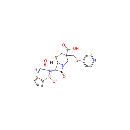 CC(=O)N(C1C(=O)N2CC(CSc3ccncc3)(C(=O)O)CS[C@H]12)[S+]([O-])c1cccs1